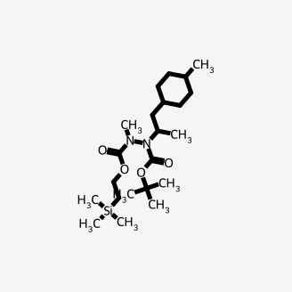 CC1CCC(CC(C)N(C(=O)OC(C)(C)C)N(C)C(=O)OCC[Si](C)(C)C)CC1